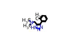 Cc1ccccc1-c1nn[nH]c1CN(C)C